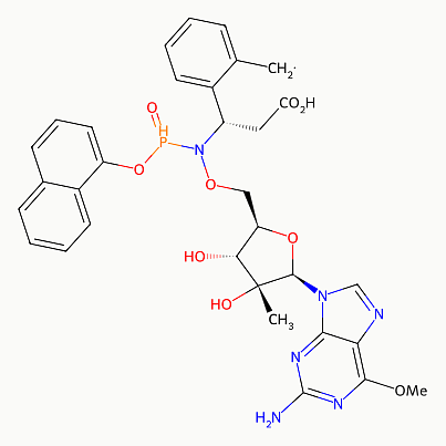 [CH2]c1ccccc1[C@H](CC(=O)O)N(OC[C@H]1O[C@@H](n2cnc3c(OC)nc(N)nc32)[C@](C)(O)[C@@H]1O)[PH](=O)Oc1cccc2ccccc12